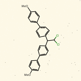 COc1ccc(-c2ccc(C(c3ccc(-c4ccc(OC)cc4)cc3)C(Cl)Cl)cc2)cc1